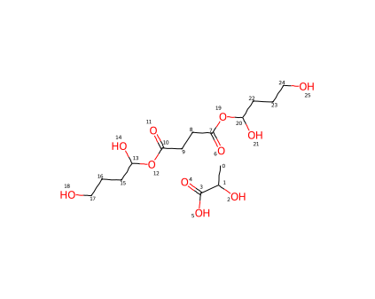 CC(O)C(=O)O.O=C(CCC(=O)OC(O)CCCO)OC(O)CCCO